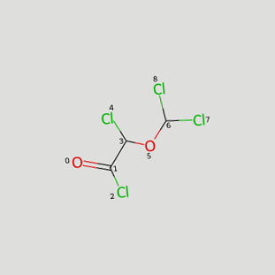 O=C(Cl)C(Cl)OC(Cl)Cl